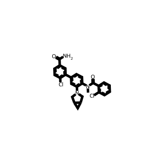 CN(C(=O)c1ccccc1Cl)c1ccc(-c2cc(C(N)=O)ccc2Cl)cc1N1CC2CC2C1